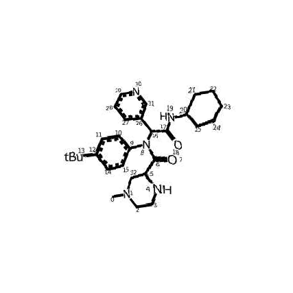 CN1CCNC(C(=O)N(c2ccc(C(C)(C)C)cc2)C(C(=O)NC2CCCCC2)c2cccnc2)C1